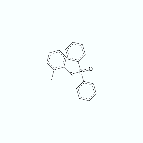 Cc1ccccc1SP(=O)(c1ccccc1)c1ccccc1